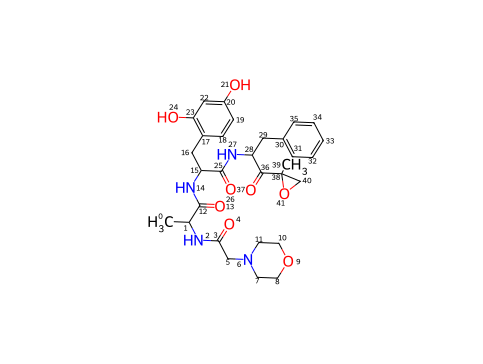 CC(NC(=O)CN1CCOCC1)C(=O)NC(Cc1ccc(O)cc1O)C(=O)NC(Cc1ccccc1)C(=O)C1(C)CO1